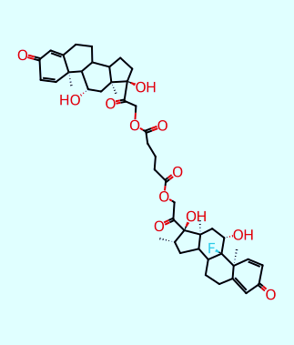 C[C@H]1CC2C3CCC4=CC(=O)C=C[C@]4(C)[C@@]3(F)[C@@H](O)C[C@]2(C)[C@@]1(O)C(=O)COC(=O)CCCC(=O)OCC(=O)[C@@]1(O)CCC2C3CCC4=CC(=O)C=C[C@]4(C)C3[C@@H](O)C[C@@]21C